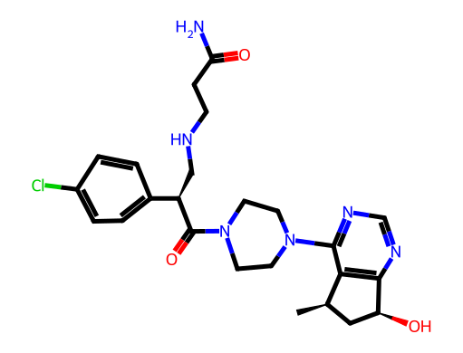 C[C@@H]1C[C@H](O)c2ncnc(N3CCN(C(=O)[C@H](CNCCC(N)=O)c4ccc(Cl)cc4)CC3)c21